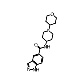 O=C(NC1CCN(C2CCOCC2)CC1)c1ccc2[nH]ncc2c1